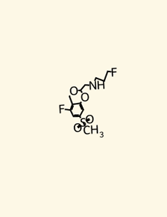 CS(=O)(=O)c1cc(F)c2c(c1)OC(CNCCCF)OC2